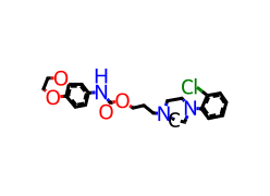 O=C(Nc1ccc2c(c1)OCCO2)OCCCN1CCN(c2ccccc2Cl)CC1